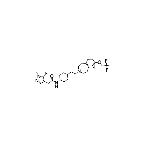 Cn1ncc(CC(=O)N[C@H]2CC[C@H](CCN3CCc4ccc(OCC(C)(F)F)nc4CC3)CC2)c1F